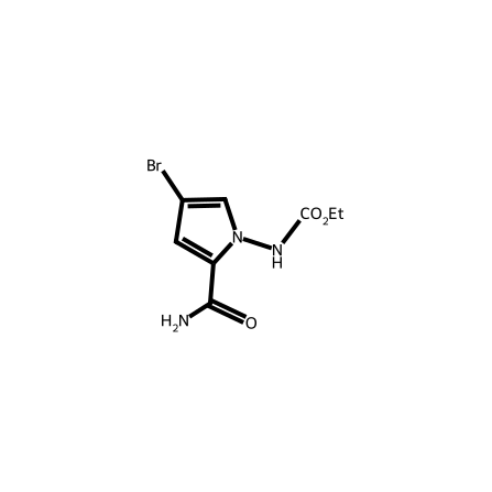 CCOC(=O)Nn1cc(Br)cc1C(N)=O